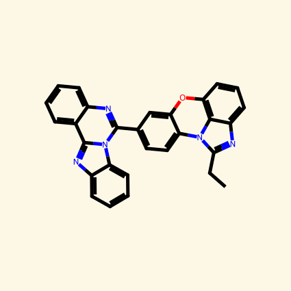 CCc1nc2cccc3c2n1-c1ccc(-c2nc4ccccc4c4nc5ccccc5n24)cc1O3